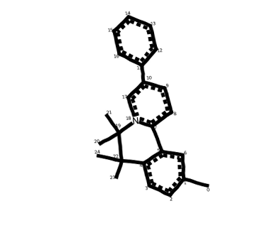 Cc1ccc2c(c1)-c1ccc(-c3ccccc3)c[n+]1C(C)(C)C2(C)C